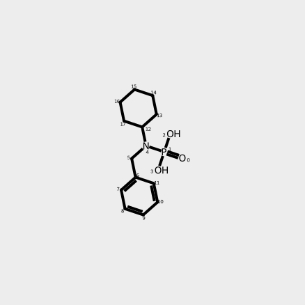 O=P(O)(O)N(Cc1ccccc1)C1CCCCC1